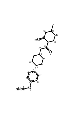 CCCCCCCCCOc1ccc([C@H]2CC[C@H](CC(=O)C3CCC(C)CC3=O)CC2)cc1